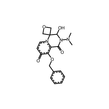 CN(C)N1C(=O)c2c(OCc3ccccc3)c(=O)ccn2C2(COC2)C1O